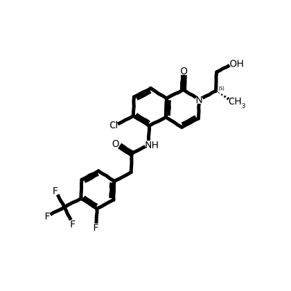 C[C@@H](CO)n1ccc2c(NC(=O)Cc3ccc(C(F)(F)F)c(F)c3)c(Cl)ccc2c1=O